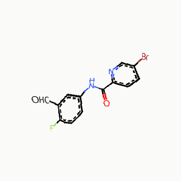 O=Cc1cc(NC(=O)c2ccc(Br)cn2)ccc1F